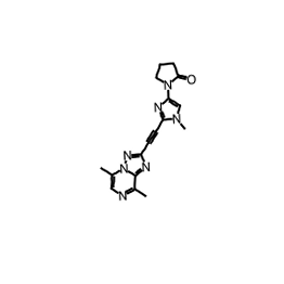 Cc1ncc(C)n2nc(C#Cc3nc(N4CCCC4=O)cn3C)nc12